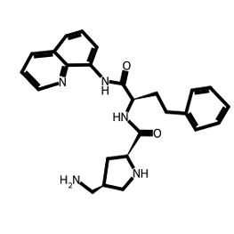 NC[C@@H]1CN[C@H](C(=O)N[C@H](CCc2ccccc2)C(=O)Nc2cccc3cccnc23)C1